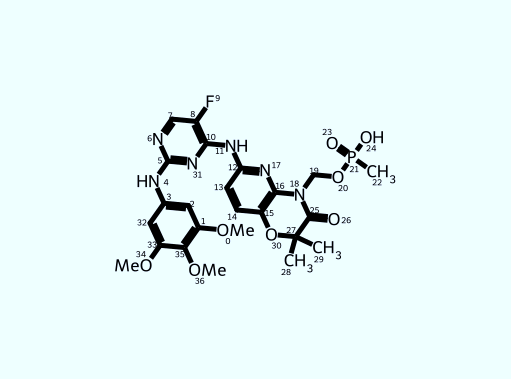 COc1cc(Nc2ncc(F)c(Nc3ccc4c(n3)N(COP(C)(=O)O)C(=O)C(C)(C)O4)n2)cc(OC)c1OC